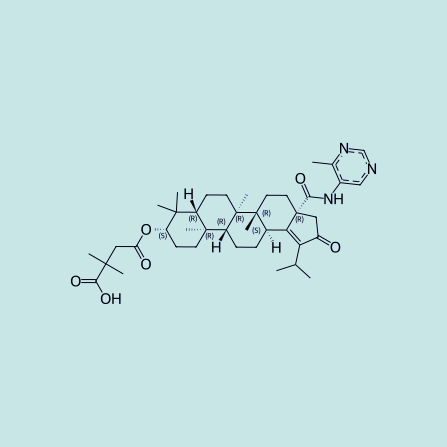 Cc1ncncc1NC(=O)[C@@]12CC[C@]3(C)[C@H](CC[C@@H]4[C@@]5(C)CC[C@H](OC(=O)CC(C)(C)C(=O)O)C(C)(C)[C@@H]5CC[C@]43C)C1=C(C(C)C)C(=O)C2